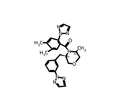 Cc1cc(C(=O)N2[C@H](Cc3cccc(-n4nccn4)c3)COC[C@@H]2C)c(-n2nccn2)cc1C